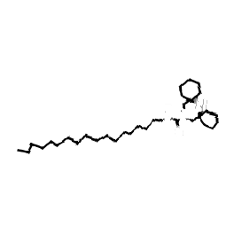 CCCCCCCCCCCCCCCCCCNC(=O)N1CC2(CCCCC2)NC2(CCCCC2)C1